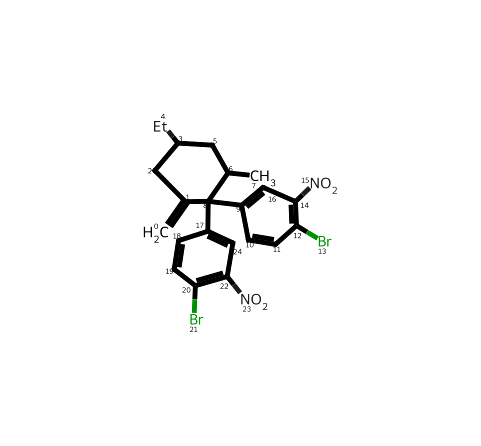 C=C1CC(CC)CC(C)C1(c1ccc(Br)c([N+](=O)[O-])c1)c1ccc(Br)c([N+](=O)[O-])c1